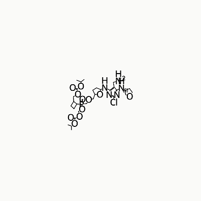 CC(C)OC(=O)OCOP(=O)(COCC1CCC(Nc2nc(Cl)nc(N[C@H]3CCOC3)c2CN)O1)C1CCC1COC(=O)OC(C)C